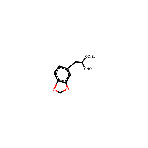 CCOC(=O)C(C=O)Cc1ccc2c(c1)OCO2